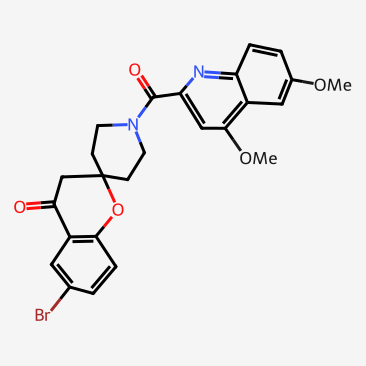 COc1ccc2nc(C(=O)N3CCC4(CC3)CC(=O)c3cc(Br)ccc3O4)cc(OC)c2c1